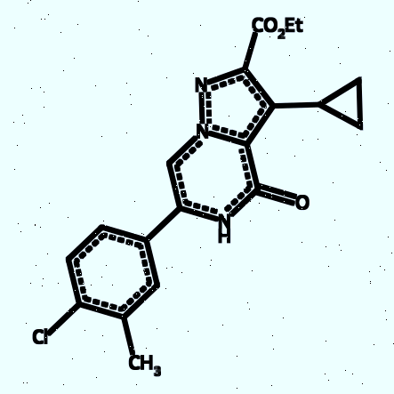 CCOC(=O)c1nn2cc(-c3ccc(Cl)c(C)c3)[nH]c(=O)c2c1C1CC1